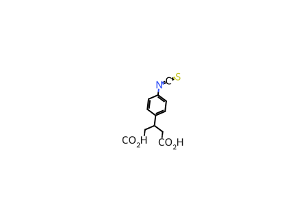 O=C(O)CC(CC(=O)O)c1ccc(N=C=S)cc1